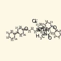 CN(C(=O)C1c2ccccc2Oc2ccccc21)[C@H]1C[N+]2(CCCOc3ccc(-c4ccccc4)cc3)CCC1CC2.[Cl-]